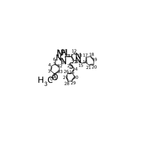 COc1ccc(Cn2nnc(-c3cnn(Cc4ccccc4)c3SCc3ccccc3)n2)cc1